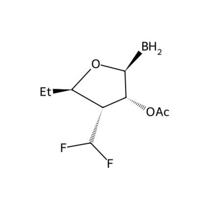 B[C@@H]1O[C@H](CC)[C@@H](C(F)F)[C@H]1OC(C)=O